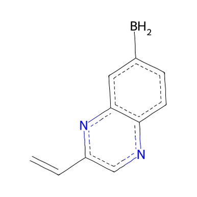 Bc1ccc2ncc(C=C)nc2c1